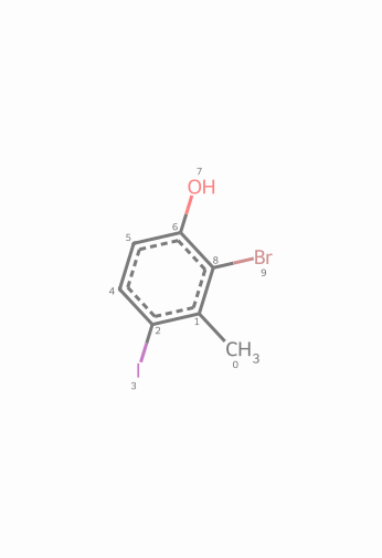 Cc1c(I)ccc(O)c1Br